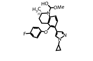 COC(O)N1c2ccc(-c3cnn(C4CC4)c3)c(Oc3ccc(F)cc3)c2CC[C@@H]1C